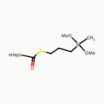 CCCCCCCC(=O)SCCC[Si](C)(OC)OC